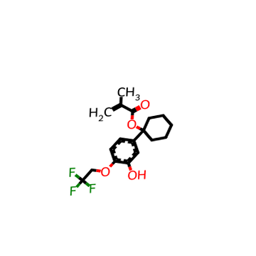 C=C(C)C(=O)OC1(c2ccc(OCC(F)(F)F)c(O)c2)CCCCC1